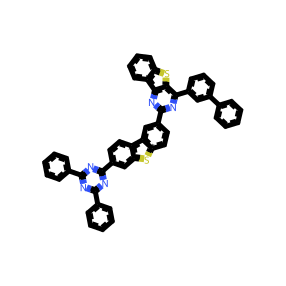 c1ccc(-c2cccc(-c3nc(-c4ccc5sc6cc(-c7nc(-c8ccccc8)nc(-c8ccccc8)n7)ccc6c5c4)nc4c3sc3ccccc34)c2)cc1